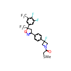 CSCC(=O)N1CC(F)(c2ccc(C3=NOC(c4cc(F)c(F)c(C(F)(F)F)c4)(C(F)(F)F)C3)cc2)C1